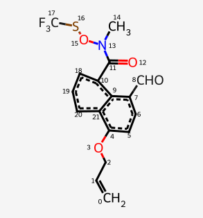 C=CCOc1ccc(C=O)c2c(C(=O)N(C)OSC(F)(F)F)cccc12